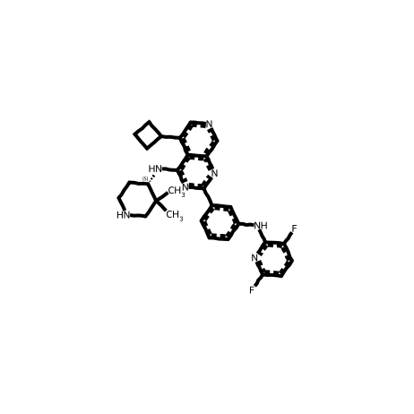 CC1(C)CNCC[C@@H]1Nc1nc(-c2cccc(Nc3nc(F)ccc3F)c2)nc2cncc(C3CCC3)c12